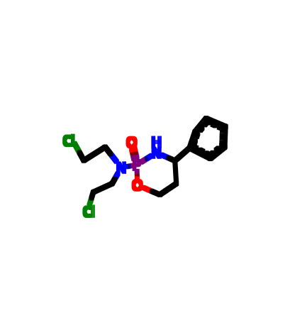 O=P1(N(CCCl)CCCl)NC(c2ccccc2)CCO1